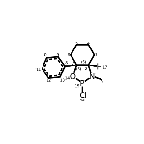 CN1[C@H]2CCCC[C@@]2(c2ccccc2)OP1Cl